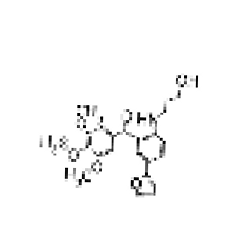 COc1cc(C(=O)c2cc(-c3ccco3)ccc2NCCCO)cc(OC)c1OC